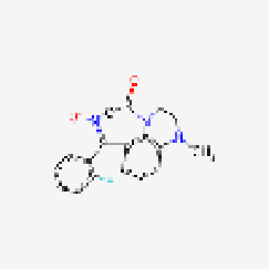 CN1CCN2C(=O)C[N+]([O-])=C(c3ccccc3F)c3cccc1c32